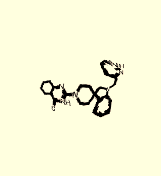 O=c1[nH]c(N2CCC3(CC2)CN(Cc2cc[nH]n2)c2ccccc23)nc2c1CCCC2